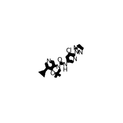 CC1(C)CN(C(=O)Nc2cnc(-n3nccn3)c(Cl)c2)c2cncc(C3CC3)c2O1